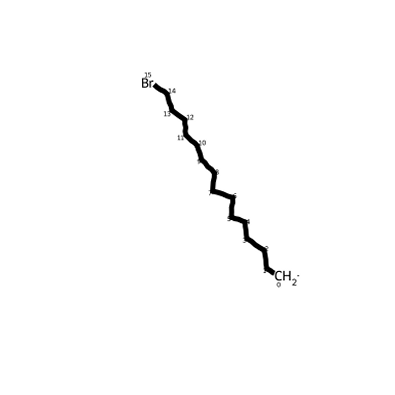 [CH2]CCCCCCCCCCCCCCBr